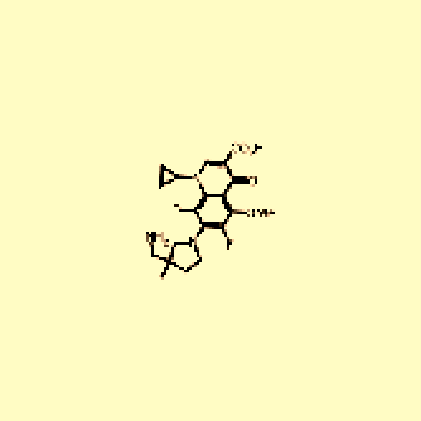 COc1c(F)c(N2CCC(C)(CN)C2)c(F)c2c1c(=O)c(C(=O)O)cn2C1CC1